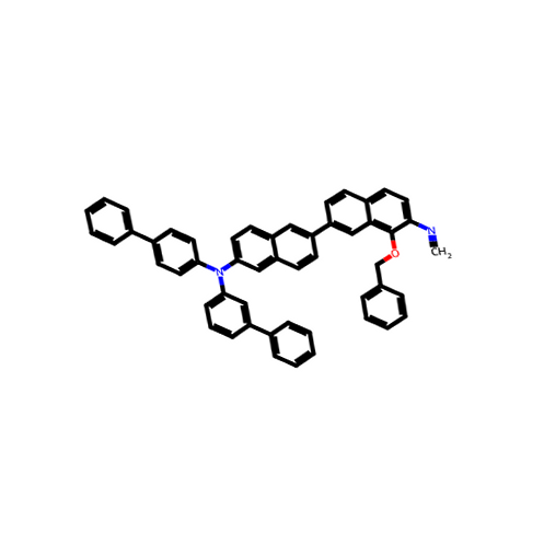 C=Nc1ccc2ccc(-c3ccc4cc(N(c5ccc(-c6ccccc6)cc5)c5cccc(-c6ccccc6)c5)ccc4c3)cc2c1OCc1ccccc1